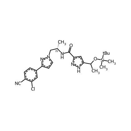 CC(O[Si](C)(C)C(C)(C)C)c1cc(C(=O)N[C@@H](C)Cn2ccc(-c3ccc(C#N)c(Cl)c3)n2)n[nH]1